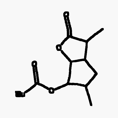 CCC(C)C(=O)OC1C(C)CC2C(C)C(=O)OC21